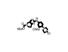 CCN1CCN(c2ccc(Nc3ncc4c(n3)CCN(C(=O)OC(C)(C)C)C4)cc2OC)CC1